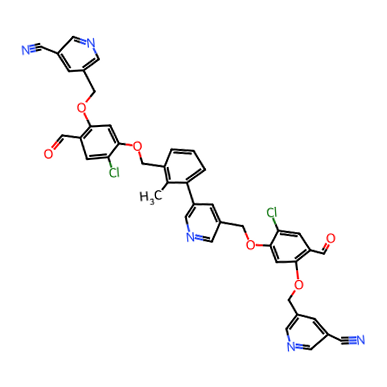 Cc1c(COc2cc(OCc3cncc(C#N)c3)c(C=O)cc2Cl)cccc1-c1cncc(COc2cc(OCc3cncc(C#N)c3)c(C=O)cc2Cl)c1